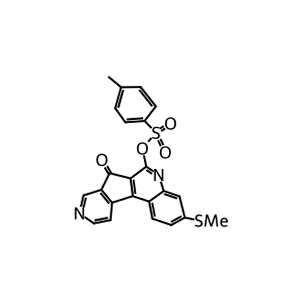 CSc1ccc2c3c(c(OS(=O)(=O)c4ccc(C)cc4)nc2c1)C(=O)c1cnccc1-3